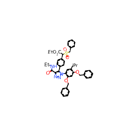 CCNC(=O)c1nnn(-c2cc(C(C)C)c(OCc3ccccc3)cc2OCc2ccccc2)c1-c1ccc(C(C(=O)OCC)S(=O)(=O)Cc2ccccc2)cc1